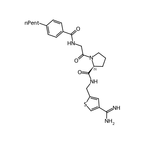 CCCCCc1ccc(C(=O)NCC(=O)N2CCC[C@H]2C(=O)NCc2cc(C(=N)N)cs2)cc1